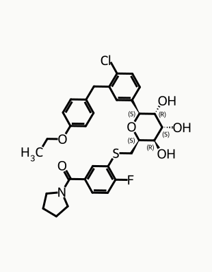 CCOc1ccc(Cc2cc([C@@H]3O[C@H](CSc4cc(C(=O)N5CCCC5)ccc4F)[C@H](O)[C@@H](O)[C@H]3O)ccc2Cl)cc1